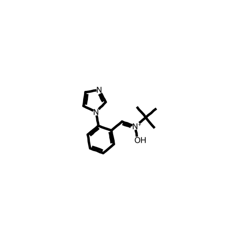 CC(C)(C)/[N+](O)=C/c1ccccc1-n1ccnc1